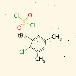 Cc1cc(C)c(Cl)c(C(C)(C)C)c1.O=S(=O)(Cl)Cl